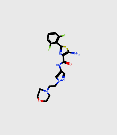 Nc1sc(-c2c(F)cccc2F)nc1C(=O)Nc1cnn(CCN2CCOCC2)c1